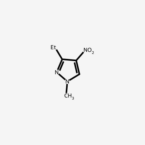 [CH2]Cc1nn(C)cc1[N+](=O)[O-]